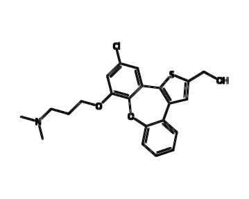 CN(C)CCCOc1cc(Cl)cc2c1Oc1ccccc1-c1cc(CO)sc1-2